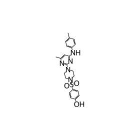 Cc1ccc(Nc2cc(C)nc(N3CCN(S(=O)(=O)c4ccc(O)cc4)CC3)n2)cc1